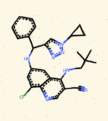 CC(C)(C)CNc1c(C#N)cnc2c(Cl)cc(NC(c3ccccc3)c3cn(C4CC4)nn3)cc12